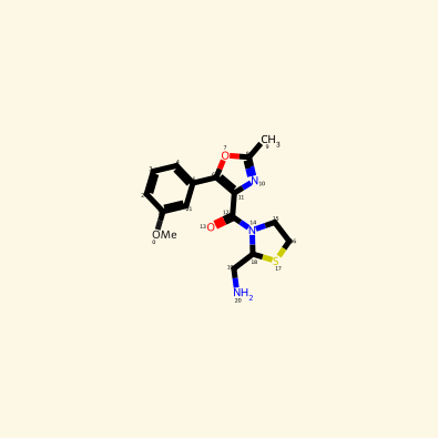 COc1cccc(-c2oc(C)nc2C(=O)N2CCSC2CN)c1